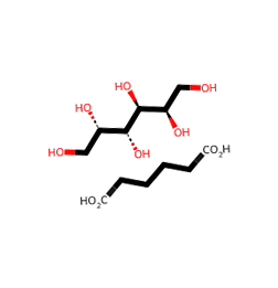 O=C(O)CCCCC(=O)O.OC[C@@H](O)[C@H](O)[C@H](O)[C@@H](O)CO